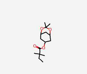 CCC(C)(C)C(=O)OC1CC2CC(C1)OC(C)(C)O2